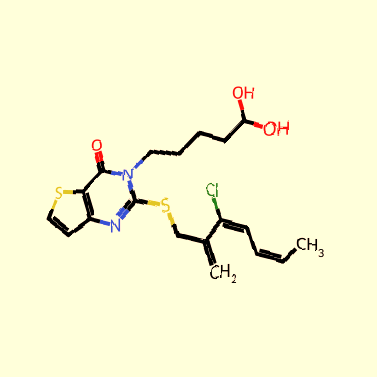 C=C(CSc1nc2ccsc2c(=O)n1CCCCC(O)O)/C(Cl)=C\C=C/C